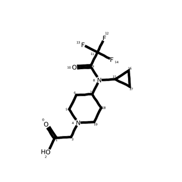 O=C(O)CN1CCC(N(C(=O)C(F)(F)F)C2CC2)CC1